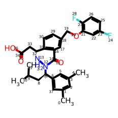 Cc1cc(C)cc([C@@H](CC(C)C)N(N)C(=O)c2cc(COc3cc(F)ccc3F)ccc2CCC(=O)O)c1